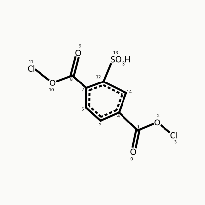 O=C(OCl)c1ccc(C(=O)OCl)c(S(=O)(=O)O)c1